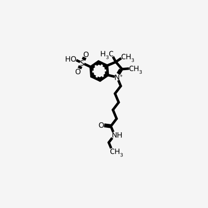 CCNC(=O)CCCCC[N+]1=C(C)C(C)(C)c2cc(S(=O)(=O)O)ccc21